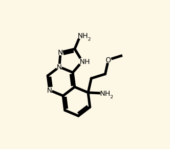 COCCC1(N)C=CC=C2N=CN3N=C(N)NC3=C21